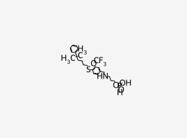 CC(C)(CCCCSc1ccc(CNCCCO[PH](=O)O)cc1OC(F)(F)F)c1ccccc1